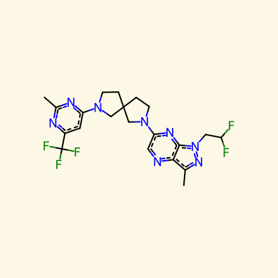 Cc1nc(N2CCC3(CCN(c4cnc5c(C)nn(CC(F)F)c5n4)C3)C2)cc(C(F)(F)F)n1